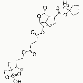 CC1(OC(=O)C2C3CC4C(OC(=O)C42)C3OC(=O)CCC(=O)OCCC(F)C(F)(F)S(=O)(=O)O)CCCC1